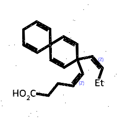 CC/C=C\C1(/C=C\CCC(=O)O)C=CC2(C=CCC=C2)C=C1